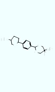 CCCC1CCC(c2ccc(C3OCC(F)(CCC)CO3)cc2)OC1